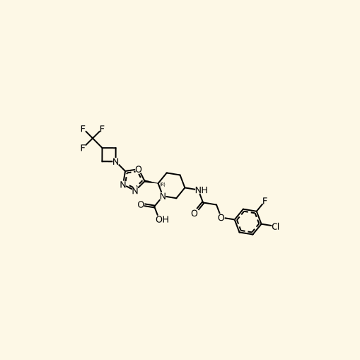 O=C(COc1ccc(Cl)c(F)c1)NC1CC[C@H](c2nnc(N3CC(C(F)(F)F)C3)o2)N(C(=O)O)C1